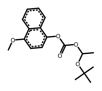 COc1ccc(OC(=O)OC(C)OC(C)(C)C)c2ccccc12